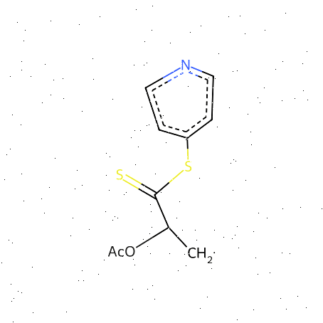 [CH2]C(OC(C)=O)C(=S)Sc1ccncc1